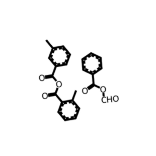 Cc1cccc(C(=O)OC(=O)c2ccccc2C)c1.O=COC(=O)c1ccccc1